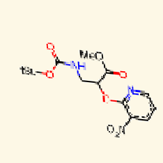 COC(=O)C(CNC(=O)OC(C)(C)C)Oc1ncccc1[N+](=O)[O-]